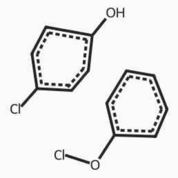 ClOc1ccccc1.Oc1ccc(Cl)cc1